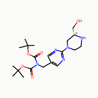 CC(C)(C)OC(=O)N(Cc1cnc(N2CCN[C@@H](CO)C2)nc1)C(=O)OC(C)(C)C